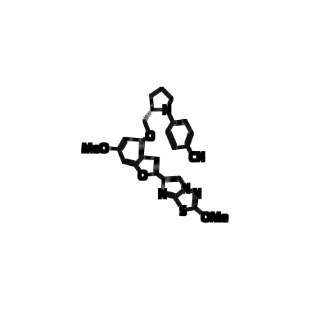 COc1cc(OC[C@@H]2CCCN2c2ccc(C#N)cc2)c2cc(-c3cn4nc(OC)sc4n3)oc2c1